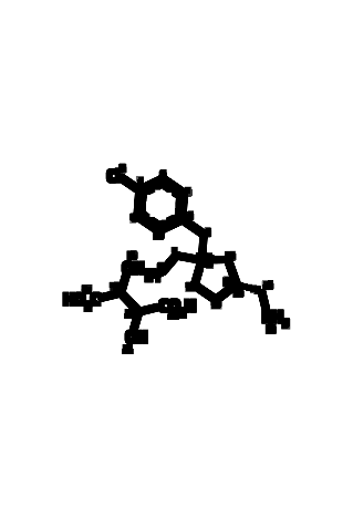 CC(C)C[N+]1(Cc2ccc(Cl)cc2)CC[C@@H](CN)C1.O=C(O)C(O)C(O)C(=O)O